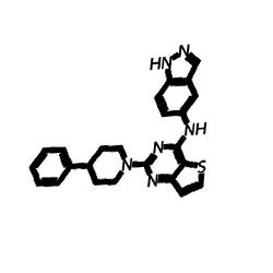 c1ccc(C2CCN(c3nc(Nc4ccc5[nH]ncc5c4)c4sccc4n3)CC2)cc1